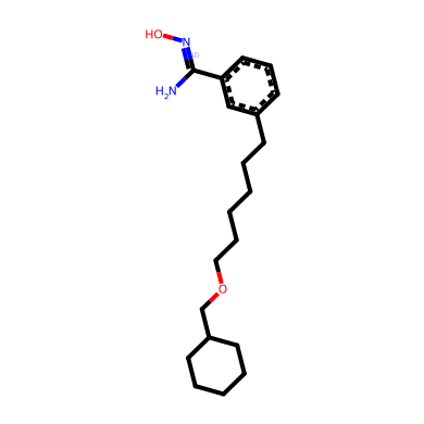 N/C(=N\O)c1cccc(CCCCCCOCC2CCCCC2)c1